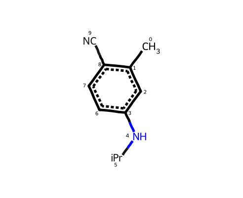 Cc1cc(NC(C)C)ccc1C#N